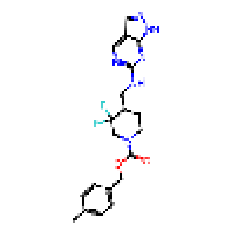 Cc1ccc(COC(=O)N2CC[C@H](CNc3ncc4cn[nH]c4n3)C(F)(F)C2)cc1